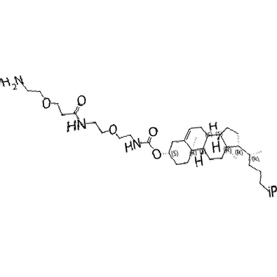 CC(C)CCC[C@@H](C)[C@H]1CC[C@H]2[C@@H]3CC=C4C[C@@H](OC(=O)NCCOCCNC(=O)CCOCCN)CC[C@]4(C)[C@H]3CC[C@]12C